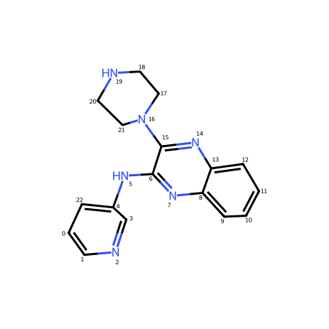 c1cncc(Nc2nc3ccccc3nc2N2CCNCC2)c1